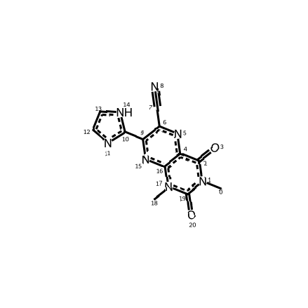 Cn1c(=O)c2nc(C#N)c(-c3ncc[nH]3)nc2n(C)c1=O